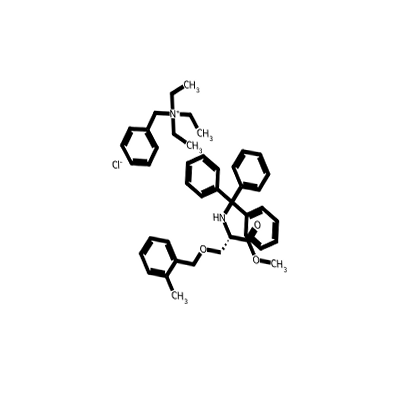 CC[N+](CC)(CC)Cc1ccccc1.COC(=O)[C@H](COCc1ccccc1C)NC(c1ccccc1)(c1ccccc1)c1ccccc1.[Cl-]